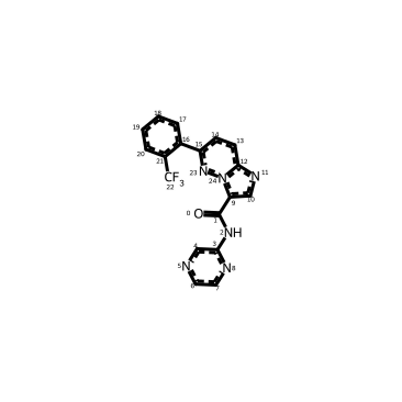 O=C(Nc1cnccn1)c1cnc2ccc(-c3ccccc3C(F)(F)F)nn12